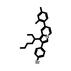 CCCCC(CC)c1c(-c2ccc(Br)cc2)cn2ccc(-c3ccc(C)cc3C)cc12